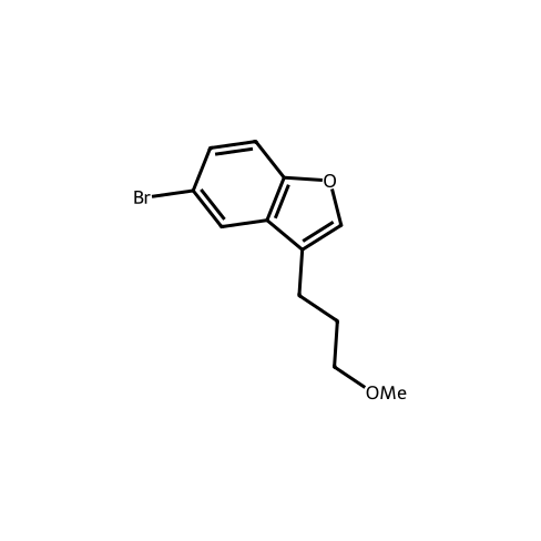 COCCCc1coc2ccc(Br)cc12